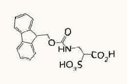 O=C(NCC(C(=O)O)S(=O)(=O)O)OCC1c2ccccc2-c2ccccc21